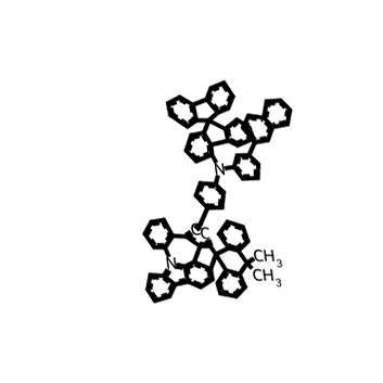 CC1(C)c2ccccc2C2(c3ccccc31)c1cc(-c3ccc(N(c4cccc(-c5ccc6ccccc6c5)c4)c4cccc5c4-c4ccccc4C54c5ccccc5-c5ccccc54)cc3)cc3c1-c1c2ccc2c4ccccc4n(c12)-c1ccccc1-3